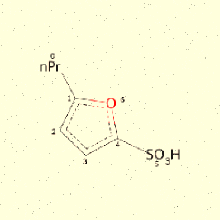 CCCc1ccc(S(=O)(=O)O)o1